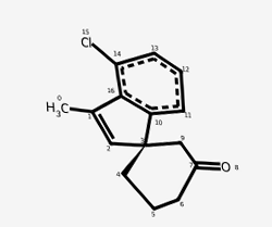 CC1=C[C@]2(CCCC(=O)C2)c2cccc(Cl)c21